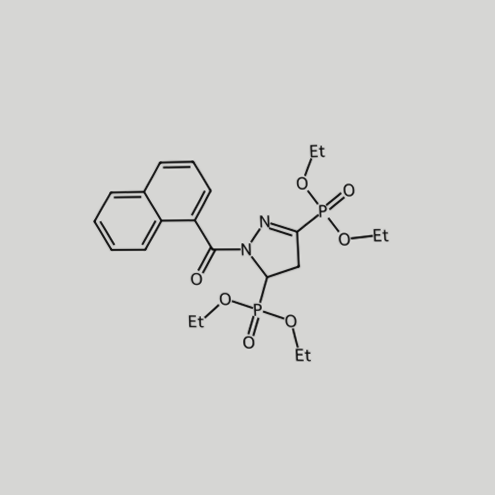 CCOP(=O)(OCC)C1=NN(C(=O)c2cccc3ccccc23)C(P(=O)(OCC)OCC)C1